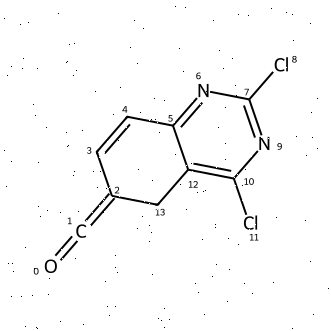 O=C=C1C=Cc2nc(Cl)nc(Cl)c2C1